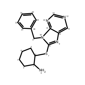 NC1CCCCC1Sc1nc2cncnc2n1Cc1ccccc1